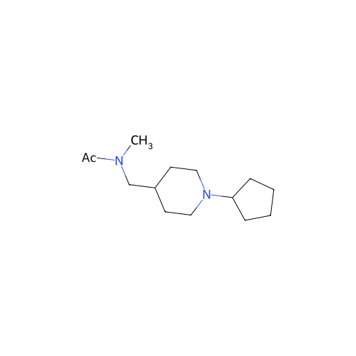 CC(=O)N(C)CC1CCN(C2CCCC2)CC1